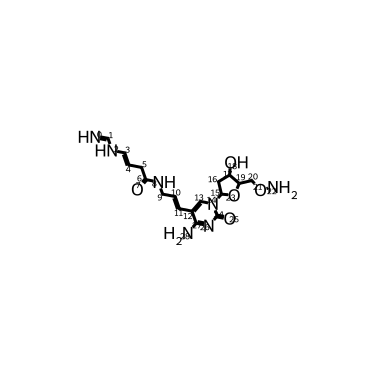 N=CN/C=C/CC(=O)NC/C=C/c1cn(C2CC(O)C(CON)O2)c(=O)nc1N